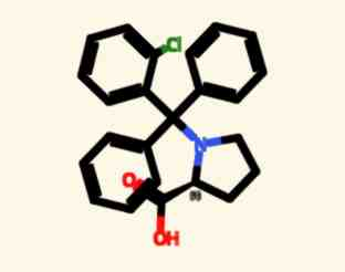 O=C(O)[C@@H]1CCCN1C(c1ccccc1)(c1ccccc1)c1ccccc1Cl